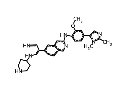 COc1cc(-c2cnc(C)n2C)ccc1Nc1cc2cc(/C(C=N)=C/NC3CCNCC3)ccc2cn1